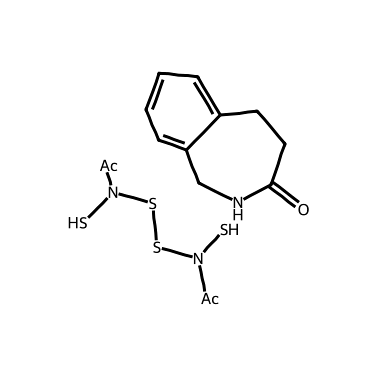 CC(=O)N(S)SSN(S)C(C)=O.O=C1CCc2ccccc2CN1